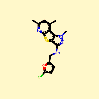 Cc1cc(C)c2c(n1)sc1c(NCc3ccc(Cl)o3)nn(C)c12